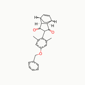 Cc1cc(OCc2ccccc2)cc(C)c1C1C(=O)[C@@H]2[C@H](C1=O)[C@H]1C=C[C@@H]2CC1